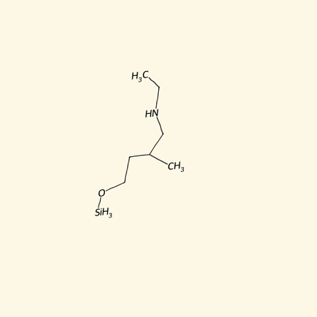 CCNCC(C)CCO[SiH3]